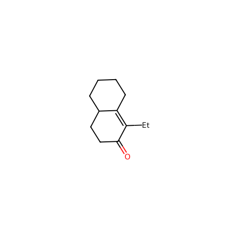 CCC1=C2CCCCC2CCC1=O